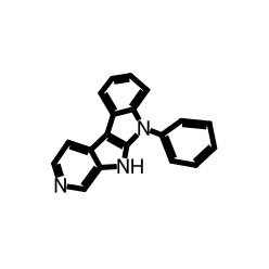 c1ccc(-n2c3ccccc3c3c4ccncc4[nH]c32)cc1